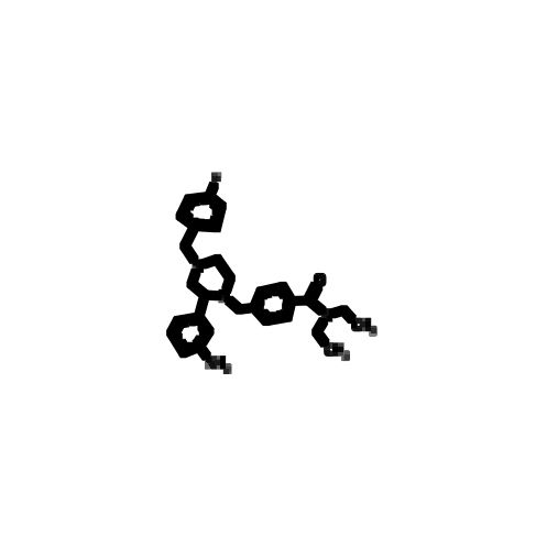 CCN(CC)C(=O)c1ccc(CN2CCN(Cc3ccc(F)cc3)CC2c2cccc(N)c2)cc1